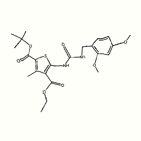 CCOC(=O)c1c(NC(=O)NCc2ccc(OC)cc2OC)sc(C(=O)OC(C)(C)C)c1C